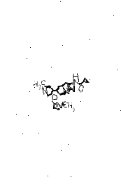 Cc1cc(-c2ccn3nc(NC(=O)C4CC4)cc3c2)c(OC[C@@H]2CCN2C)cn1